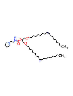 CCCCCCCC/C=C\CCCCCCCCOCC(COCCCCCCCC/C=C\CCCCCCCC)OC(=O)NCCN1CCCC1